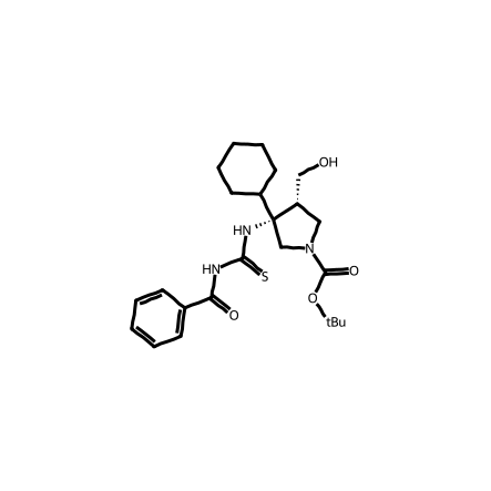 CC(C)(C)OC(=O)N1C[C@@H](CO)[C@](NC(=S)NC(=O)c2ccccc2)(C2CCCCC2)C1